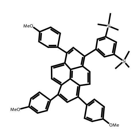 COc1ccc(-c2cc(-c3ccc(OC)cc3)c3ccc4c(-c5cc([Si](C)(C)C)cc([Si](C)(C)C)c5)cc(-c5ccc(OC)cc5)c5ccc2c3c54)cc1